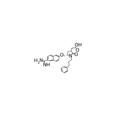 N=C(N)c1ccc2cc(OC[C@@H]3C[C@@H](CC(=O)O)C(=O)N3CCCc3ccccc3)ccc2c1